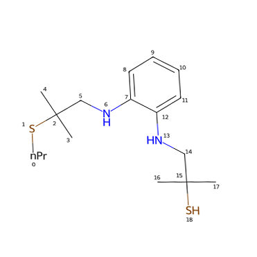 CCCSC(C)(C)CNc1ccccc1NCC(C)(C)S